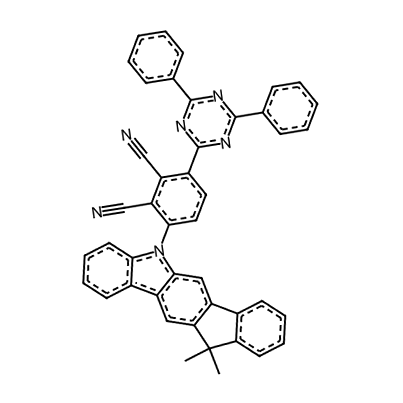 CC1(C)c2ccccc2-c2cc3c(cc21)c1ccccc1n3-c1ccc(-c2nc(-c3ccccc3)nc(-c3ccccc3)n2)c(C#N)c1C#N